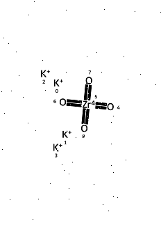 [K+].[K+].[K+].[K+].[O]=[Zr-4](=[O])(=[O])=[O]